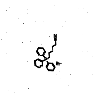 N#CCCCCC[P+](c1ccccc1)(c1ccccc1)c1ccccc1.[Br-]